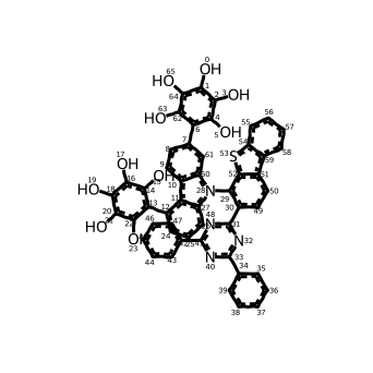 Oc1c(O)c(O)c(-c2ccc3c4c(-c5c(O)c(O)c(O)c(O)c5O)cccc4n(-c4c(-c5nc(-c6ccccc6)nc(-c6ccccc6)n5)ccc5c4sc4ccccc45)c3c2)c(O)c1O